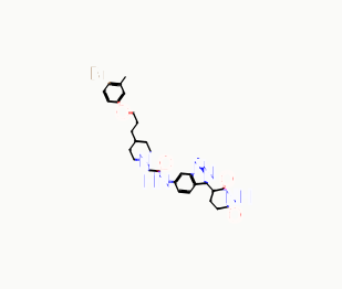 Cc1cc(O[C@H](C)CCC2CCN(CC(=O)Nc3ccc4c(C5CCC(=O)NC5=O)nn(C)c4c3)CC2)ccc1Br